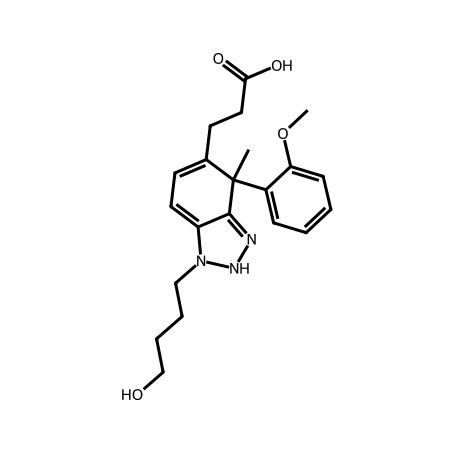 COc1ccccc1C1(C)C(CCC(=O)O)=CC=C2C1=NNN2CCCCO